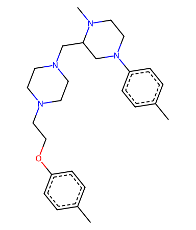 Cc1ccc(OCCN2CCN(CC3CN(c4ccc(C)cc4)CCN3C)CC2)cc1